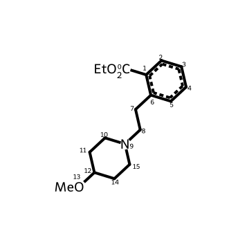 CCOC(=O)c1ccccc1CCN1CCC(OC)CC1